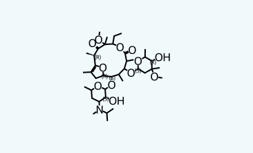 CCC1OC(=O)C(C)C(O[C@@H]2CC(C)(OC)[C@H](O)C(C)O2)C(C)[C@H](OC2OC(C)CC(N(C)C(C)C)[C@@H]2O)[C@@]2(C)CC(C)=C(O2)[C@@H](C)C(=O)C1(C)OC